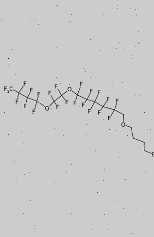 FC(F)(F)C(F)(F)C(F)(F)C(F)(F)OC(F)(F)C(F)(F)OC(F)(F)C(F)(F)C(F)(F)C(F)(F)C(F)(F)COCCCCBr